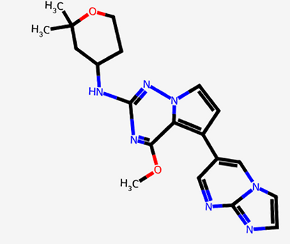 COc1nc(NC2CCOC(C)(C)C2)nn2ccc(-c3cnc4nccn4c3)c12